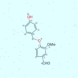 COc1cc(C=O)ccc1OCc1ccc(O)cc1